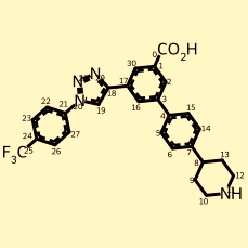 O=C(O)c1cc(-c2ccc(C3CCNCC3)cc2)cc(-c2cn(-c3ccc(C(F)(F)F)cc3)nn2)c1